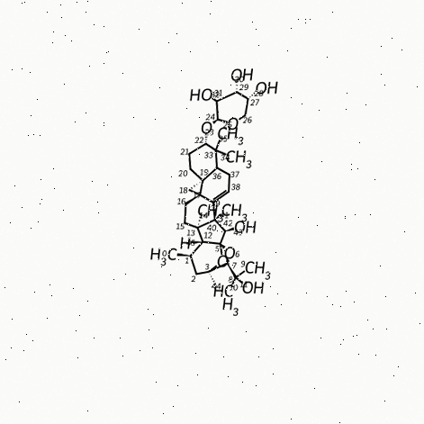 C[C@@H]1C[C@H]2O[C@]3(O[C@H]2C(C)(C)O)[C@H]1[C@@]1(C)CC[C@@]24C[C@@]25CC[C@H](O[C@@H]2OC[C@@H](O)[C@@H](O)C2O)C(C)(C)C5CC=C4[C@]1(C)[C@H]3O